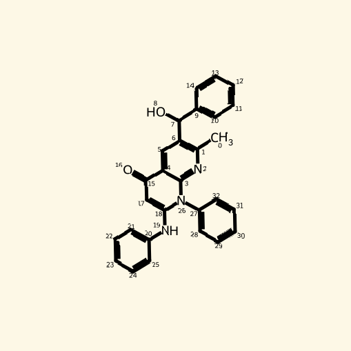 Cc1nc2c(cc1C(O)c1ccccc1)c(=O)cc(Nc1ccccc1)n2-c1ccccc1